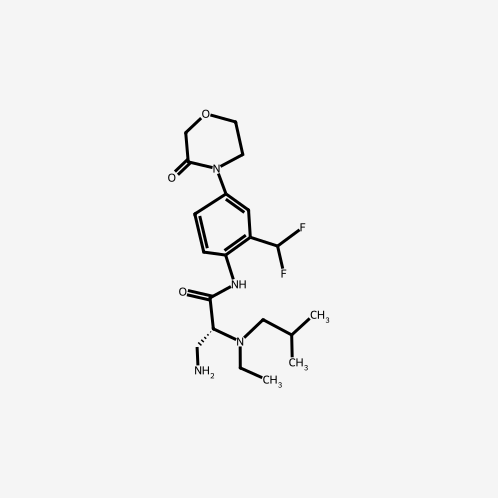 CCN(CC(C)C)[C@H](CN)C(=O)Nc1ccc(N2CCOCC2=O)cc1C(F)F